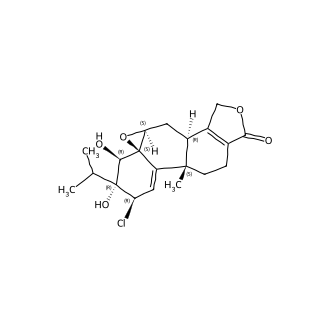 CC(C)[C@]1(O)[C@H](Cl)C=C2[C@]3(O[C@H]3C[C@H]3C4=C(CC[C@]23C)C(=O)OC4)[C@@H]1O